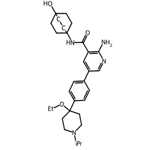 CCOC1(c2ccc(-c3cnc(N)c(C(=O)NC45CCC(O)(CC4)CC5)c3)cc2)CCN(C(C)C)CC1